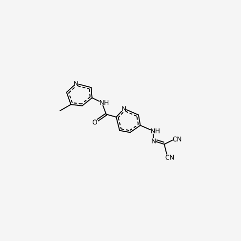 Cc1cncc(NC(=O)c2ccc(NN=C(C#N)C#N)cn2)c1